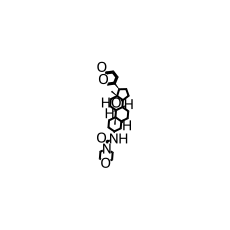 C[C@]12CC[C@@H](NC(=O)N3CCOCC3)C[C@H]1CC[C@@H]1[C@@H]2CC[C@]2(C)[C@@H](c3ccc(=O)oc3)CC[C@]12O